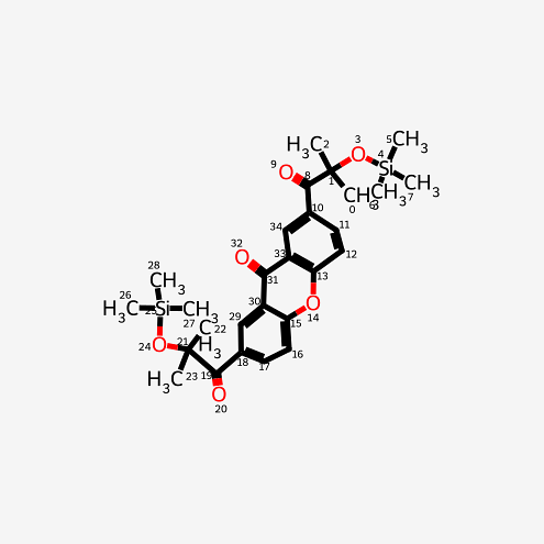 CC(C)(O[Si](C)(C)C)C(=O)c1ccc2oc3ccc(C(=O)C(C)(C)O[Si](C)(C)C)cc3c(=O)c2c1